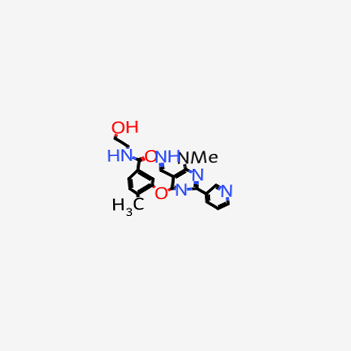 CNc1nc(-c2cccnc2)nc(Oc2cc(C(=O)NCCO)ccc2C)c1C=N